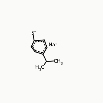 CC(C)c1ccc([S-])cc1.[Na+]